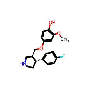 COc1cc(OC[C@@H]2CNCC[C@H]2c2ccc(F)cc2)ccc1O